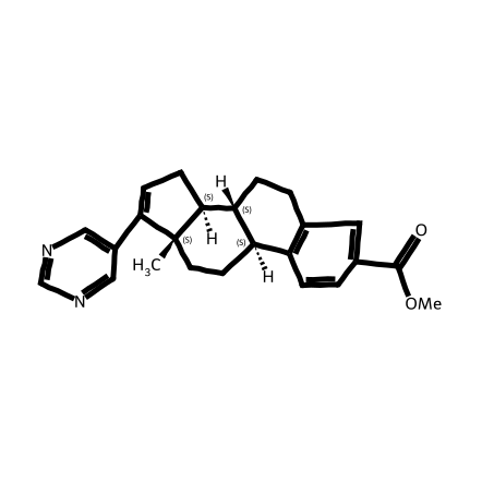 COC(=O)c1ccc2c(c1)CC[C@@H]1[C@@H]2CC[C@]2(C)C(c3cncnc3)=CC[C@@H]12